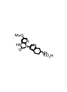 COc1cnc2c(c1)NC(=O)CN2c1cnc2c(c1)CCC(NC(=O)O)C2